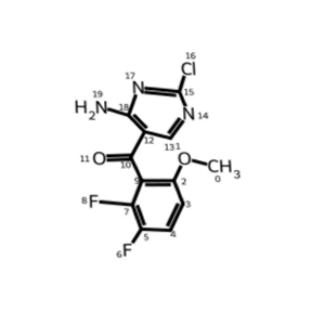 COc1ccc(F)c(F)c1C(=O)c1cnc(Cl)nc1N